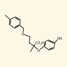 Cc1ccc(COCCC(C)(Oc2ccc(O)cc2)C(=O)O)cc1